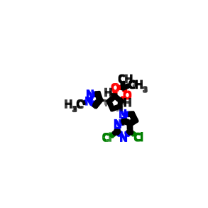 Cn1cc([C@H]2C[C@@H](n3ccc4c(Cl)nc(Cl)nc43)[C@@H]3OC(C)(C)O[C@@H]32)cn1